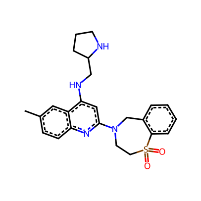 Cc1ccc2nc(N3CCS(=O)(=O)c4ccccc4C3)cc(NCC3CCCN3)c2c1